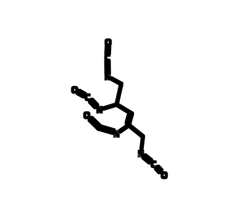 O=C=NCC(=CC(CN=C=O)N=C=O)N=C=O